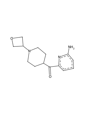 Nc1cccc(C(=O)C2CCN(C3COC3)CC2)n1